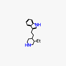 CC[C@H]1CNCCC1CCc1c[nH]c2ccccc12